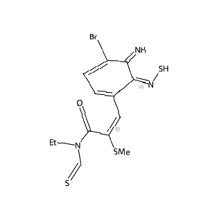 CCN(C=S)C(=O)/C(=C\C1=CC=C(Br)C(=N)/C1=N\S)SC